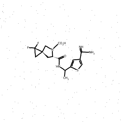 CC(NC(=O)[C@@H]1C[C@@]2(CN1C(=O)O)CC2(F)F)c1cc(C(=N)N)cs1